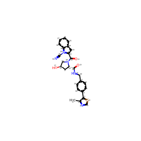 Cc1ncsc1-c1ccc(CNC(=O)[C@@H]2C[C@@H](O)CN2C(=O)c2cc3ccccc3n2C#N)cc1